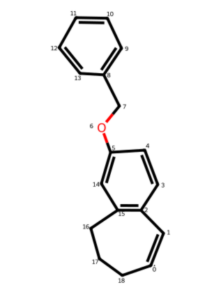 [C]1=Cc2ccc(OCc3ccccc3)cc2CCC1